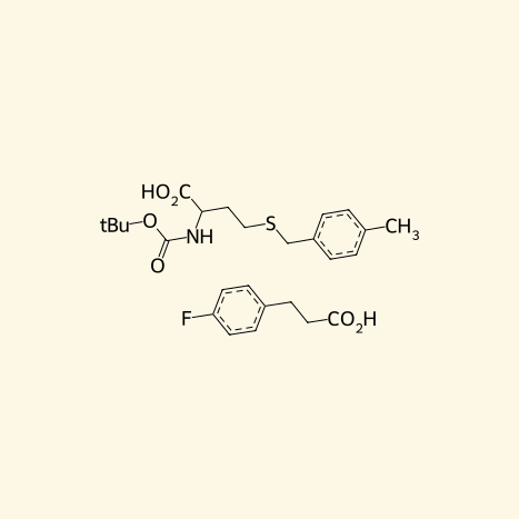 Cc1ccc(CSCCC(NC(=O)OC(C)(C)C)C(=O)O)cc1.O=C(O)CCc1ccc(F)cc1